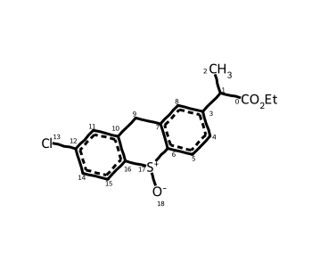 CCOC(=O)C(C)c1ccc2c(c1)Cc1cc(Cl)ccc1[S+]2[O-]